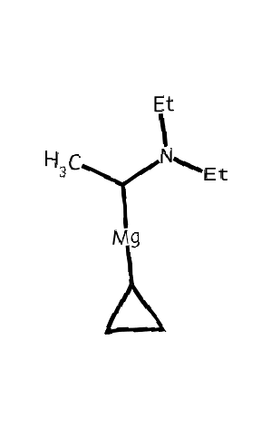 CCN(CC)[CH](C)[Mg][CH]1CC1